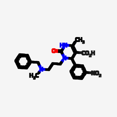 CC1=C(C(=O)O)C(c2cccc([N+](=O)[O-])c2)N(CCCN(C)Cc2ccccc2)C(=O)N1